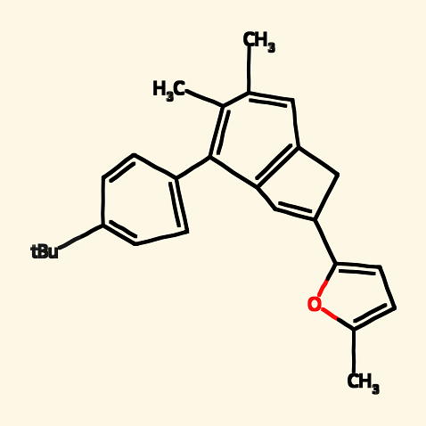 Cc1ccc(C2=Cc3c(cc(C)c(C)c3-c3ccc(C(C)(C)C)cc3)C2)o1